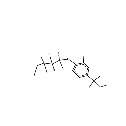 CCC(C)(C)c1ccc(OC(F)(F)C(F)(F)C(C)(C)CC)c(C)c1